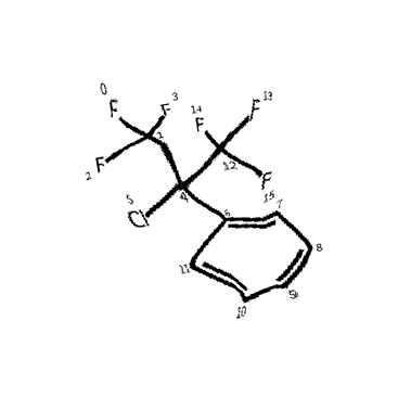 FC(F)(F)C(Cl)(c1ccccc1)C(F)(F)F